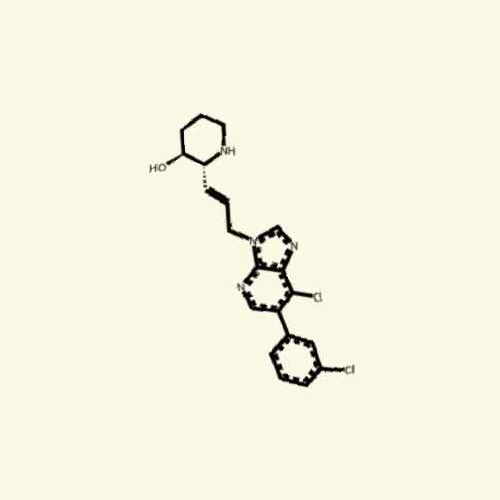 O[C@H]1CCCN[C@@H]1/C=C/Cn1cnc2c(Cl)c(-c3cccc(Cl)c3)cnc21